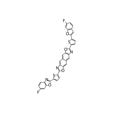 Fc1ccc2cc(-c3ccc(-c4nc5cc6cc7oc(-c8ccc(-c9nc%10ccc(F)cc%10o9)s8)nc7cc6cc5o4)s3)oc2c1